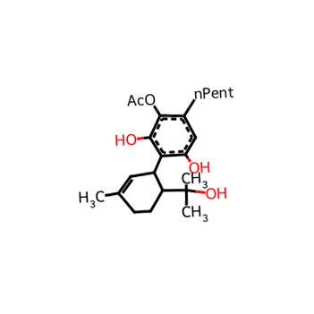 CCCCCc1cc(O)c(C2C=C(C)CCC2C(C)(C)O)c(O)c1OC(C)=O